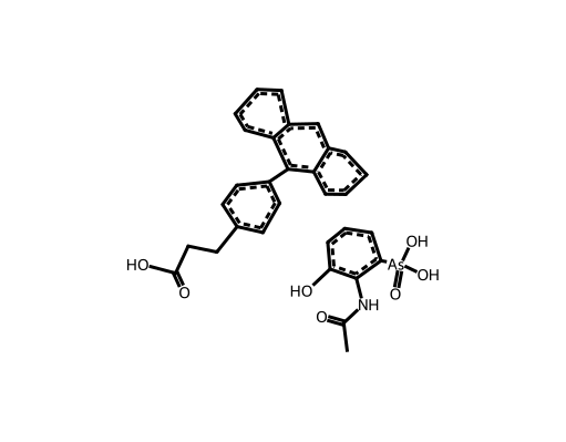 CC(=O)Nc1c(O)cccc1[As](=O)(O)O.O=C(O)CCc1ccc(-c2c3ccccc3cc3ccccc23)cc1